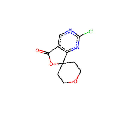 O=C1OC2(CCOCC2)c2nc(Cl)ncc21